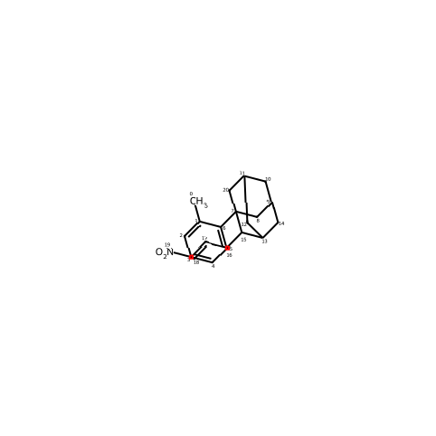 Cc1ccccc1C12CC3CC(CC(C3)C1CC=C[N+](=O)[O-])C2